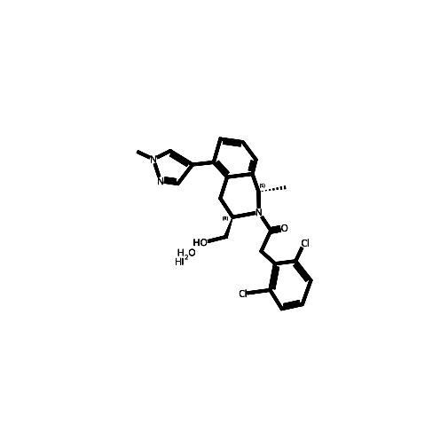 C[C@H]1c2cccc(-c3cnn(C)c3)c2C[C@H](CO)N1C(=O)Cc1c(Cl)cccc1Cl.I.O